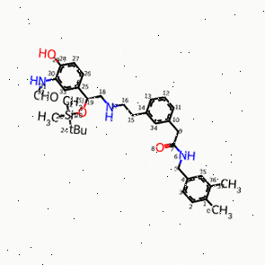 Cc1ccc(CNC(=O)Cc2cccc(CCNC[C@@H](O[Si](C)(C)C(C)(C)C)c3ccc(O)c(NC=O)c3)c2)cc1C